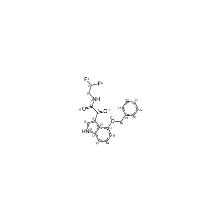 O=C(NCC(F)F)C(=O)c1c[nH]c2cccc(OCc3ccccc3)c12